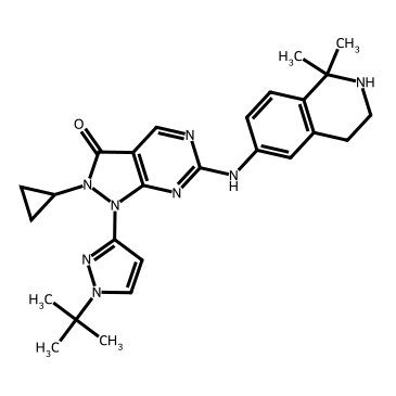 CC1(C)NCCc2cc(Nc3ncc4c(=O)n(C5CC5)n(-c5ccn(C(C)(C)C)n5)c4n3)ccc21